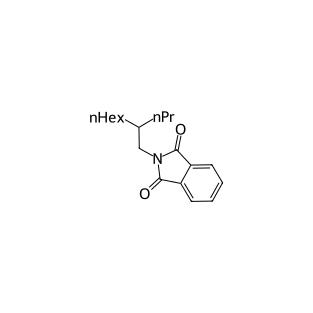 CCCCCCC(CCC)CN1C(=O)c2ccccc2C1=O